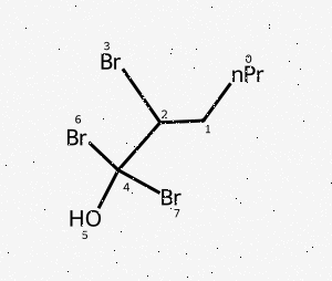 CCCCC(Br)C(O)(Br)Br